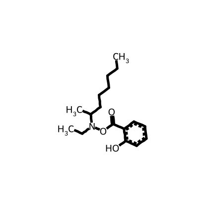 CCCCCCC(C)N(CC)OC(=O)c1ccccc1O